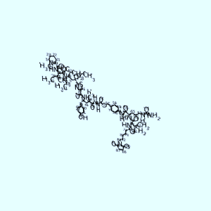 CCCOC(C[C@H](C(C)C)N(CCC)C(=O)[C@@H](NC(=O)[C@H]1CCCCN1C)[C@@H](C)CC)c1nc(C(=O)N[C@@H](Cc2ccc(O)cc2)C[C@H](C)C(=O)NNC(=O)OCc2ccc(NC(=O)C(CCCNC(N)=O)NC(=O)[C@H](NC(=O)CCCCCN3C(=O)C=CC3=O)C(C)C)cc2)cs1